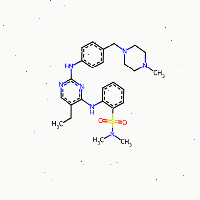 CCc1cnc(Nc2ccc(CN3CCN(C)CC3)cc2)nc1Nc1ccccc1S(=O)(=O)N(C)C